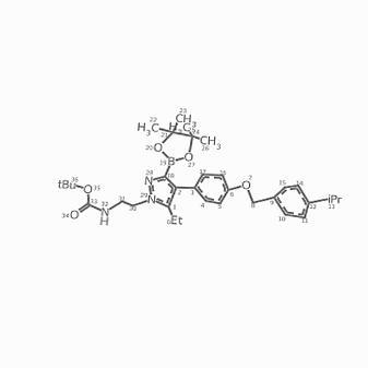 CCc1c(-c2ccc(OCc3ccc(C(C)C)cc3)cc2)c(B2OC(C)(C)C(C)(C)O2)nn1CCNC(=O)OC(C)(C)C